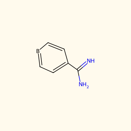 N=C(N)c1ccbcc1